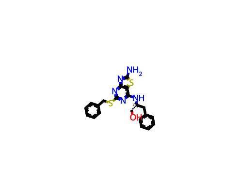 Nc1nc2nc(SCc3ccccc3)nc(N[C@@H](CO)Cc3ccccc3)c2s1